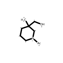 CC(=O)N1CCCC(C)(CO)C1